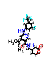 CC(C)c1cc(Nc2cc(F)cc(C(F)(F)F)c2)ncc1C(=O)NCC1CCOC(=O)C1